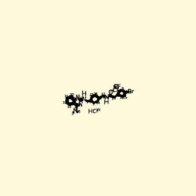 CN(C)c1nc(NCC2CCC(CNC(=O)Cc3ccc(Br)cc3OC(F)(F)F)CC2)nc2ccccc12.Cl